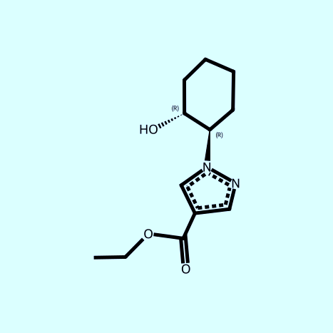 CCOC(=O)c1cnn([C@@H]2CCCC[C@H]2O)c1